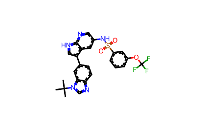 CC(C)(C)n1cnc2ccc(-c3c[nH]c4ncc(NS(=O)(=O)c5cccc(OC(F)(F)F)c5)cc34)cc21